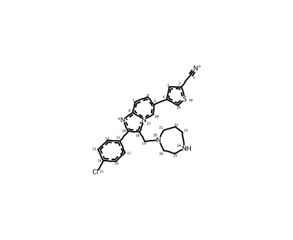 N#Cc1cc(-c2ccc3nc(-c4ccc(Cl)cc4)c(CN4CCCNCC4)n3c2)cs1